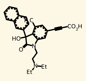 CCN(CC)CCN1C(=O)C(O)(c2ccc3ccccc3c2)c2c1cc(C#CC(=O)O)cc2C(F)(F)F